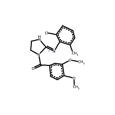 COc1ccc(C(=O)N2CCN/C2=N\c2c(C)cccc2Cl)cc1OC